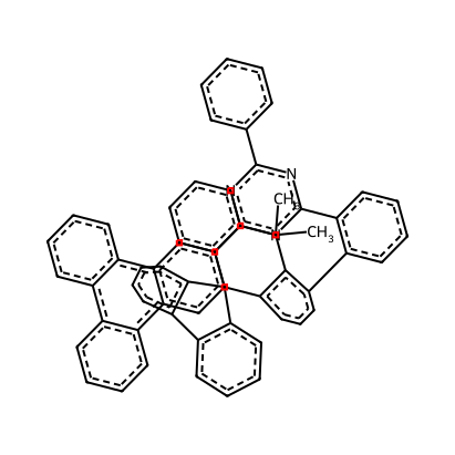 CC1(C)c2ccccc2C2(c3ccccc3-c3ccccc32)c2cccc(-c3ccccc3-c3nc(-c4ccccc4)nc(-c4ccc5c6ccccc6c6ccccc6c5c4)n3)c21